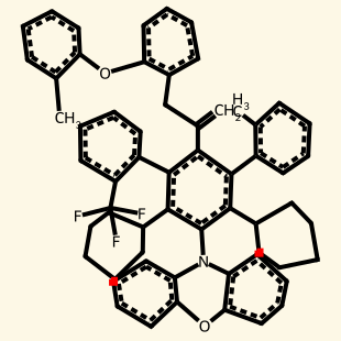 C=C(Cc1ccccc1Oc1ccccc1C)c1c(-c2ccccc2C)c(C2CCCCC2)c(N2c3ccccc3Oc3ccccc32)c(C2CCCCC2)c1-c1ccccc1C(F)(F)F